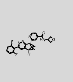 CC1(C)[C@H]2CC[C@]1(c1cc(C(=O)NC3COC3)ccn1)c1nnc(-c3c(F)cccc3F)cc12